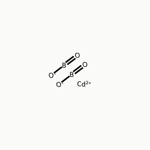 O=B[O-].O=B[O-].[Cd+2]